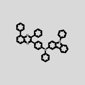 c1ccc(-c2nc3c(-c4ccccc4)cccc3nc2-c2ccc(N(c3ccccc3)c3ccc4c(c3)c3ccccc3n4-c3ccccc3)cc2)cc1